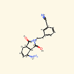 N#Cc1cccc(CCN2C(=O)C3CC=CC(N)C3C2=O)c1